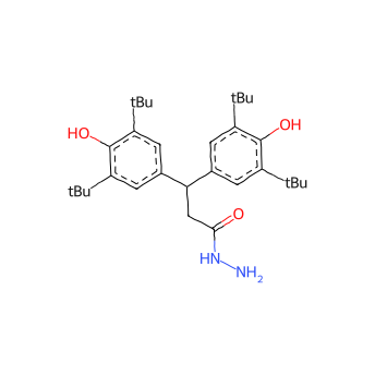 CC(C)(C)c1cc(C(CC(=O)NN)c2cc(C(C)(C)C)c(O)c(C(C)(C)C)c2)cc(C(C)(C)C)c1O